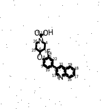 O=C(O)N1CCC(Oc2ccc(-c3cnc4ccccc4c3)cc2F)CC1